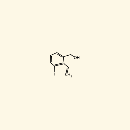 C=Cc1c(I)cccc1[CH]O